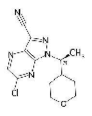 C[C@@H](C1CCOCC1)n1nc(C#N)c2ncc(Cl)nc21